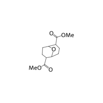 COC(=O)C1CCC2OC1CCC2C(=O)OC